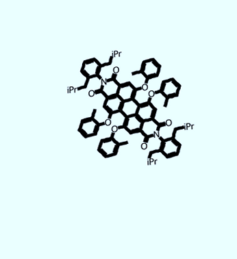 Cc1ccccc1Oc1cc2c3c(cc(Oc4ccccc4C)c4c5c(Oc6ccccc6C)cc6c7c(cc(Oc8ccccc8C)c(c1c34)c75)C(=O)N(c1c(CC(C)C)cccc1CC(C)C)C6=O)C(=O)N(c1c(CC(C)C)cccc1CC(C)C)C2=O